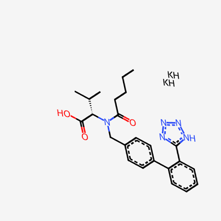 CCCCC(=O)N(Cc1ccc(-c2ccccc2-c2nnn[nH]2)cc1)[C@H](C(=O)O)C(C)C.[KH].[KH]